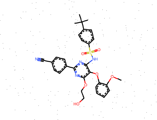 COc1ccccc1Oc1c(NS(=O)(=O)c2ccc(C(C)(C)C)cc2)nc(-c2ccc(C#N)cc2)nc1OCCO